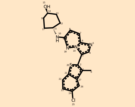 Cc1c(-c2cnc3ccc(N[C@H]4CC[C@H](O)CC4)nn23)sc2ccc(Cl)cc12